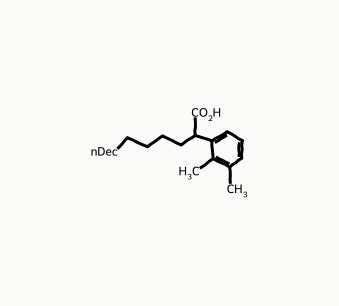 CCCCCCCCCCCCCCC(C(=O)O)c1cccc(C)c1C